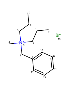 CCC[N+](C)(CCC)Cc1ccccc1.[Br-]